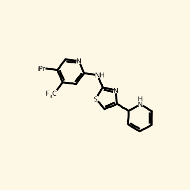 CC(C)c1cnc(Nc2nc(C3C=CC=CN3)cs2)cc1C(F)(F)F